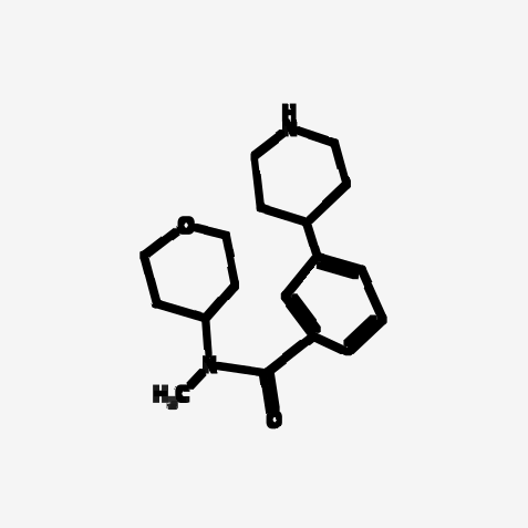 CN(C(=O)c1cccc(C2CCNCC2)c1)C1CCOCC1